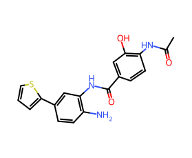 CC(=O)Nc1ccc(C(=O)Nc2cc(-c3cccs3)ccc2N)cc1O